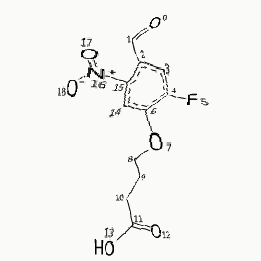 O=Cc1cc(F)c(OCCCC(=O)O)cc1[N+](=O)[O-]